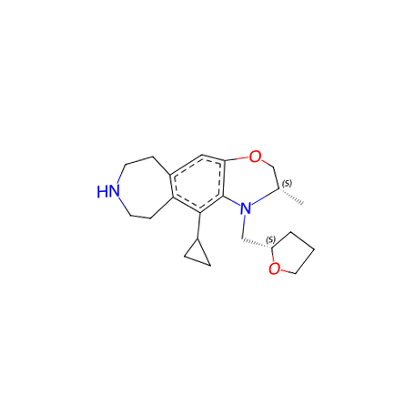 C[C@H]1COc2cc3c(c(C4CC4)c2N1C[C@@H]1CCCO1)CCNCC3